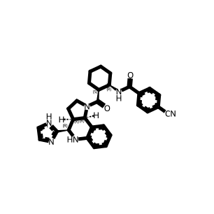 N#Cc1ccc(C(=O)N[C@@H]2CCCC[C@@H]2C(=O)N2CC[C@@H]3[C@H](c4ncc[nH]4)Nc4ccccc4[C@@H]32)cc1